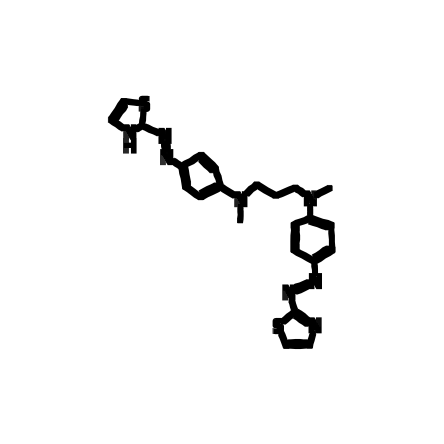 CN(CCCN(C)c1ccc(N=NC2NC=CS2)cc1)c1ccc(N=Nc2nccs2)cc1